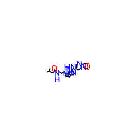 CC(C)CC(=O)NCCCn1ccc2cnc(Nc3ccc(N4CCOCC4)nc3)nc21